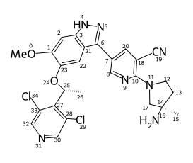 COc1cc2[nH]nc(-c3cnc(N4CC[C@@](C)(N)C4)c(C#N)c3)c2cc1O[C@H](C)c1c(Cl)cncc1Cl